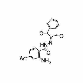 CC(=O)c1ccc(C(=O)NN=c2c(=O)c3ccccc3c2=O)c(N)c1